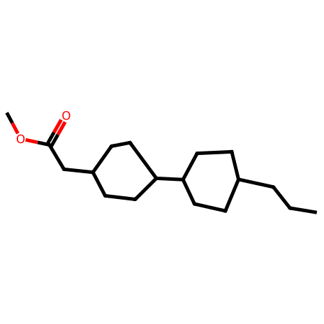 CCCC1CCC(C2CCC(CC(=O)OC)CC2)CC1